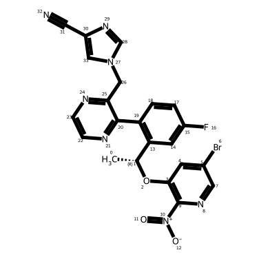 C[C@@H](Oc1cc(Br)cnc1[N+](=O)[O-])c1cc(F)ccc1-c1nccnc1Cn1cnc(C#N)c1